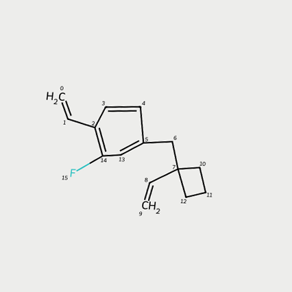 C=Cc1ccc(CC2(C=C)CCC2)cc1F